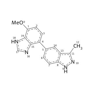 COc1ccc(-c2ccc3[nH]nc(C)c3c2)c2nc[nH]c12